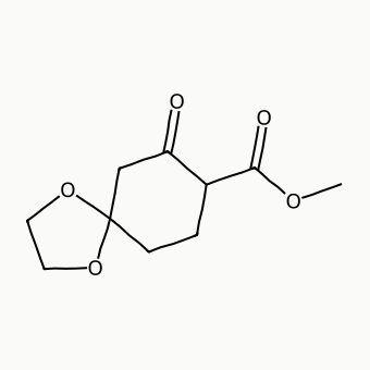 COC(=O)C1CCC2(CC1=O)OCCO2